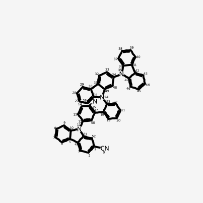 N#Cc1ccc2c3ccccc3n(-c3ccc(C#N)c(-c4ccccc4-n4c5ccccc5c5ccc(-n6c7ccccc7c7ccccc76)cc54)c3)c2c1